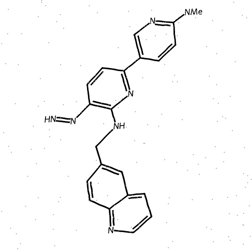 CNc1ccc(-c2ccc(N=N)c(NCc3ccc4ncccc4c3)n2)cn1